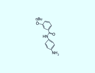 CCCCOc1cccc(C(=O)Nc2ccc(N)cc2)c1